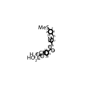 CSc1ccc(Cn2cc(COC(=O)c3ccc(OC(C)(C)C(=O)O)cc3)cn2)cc1